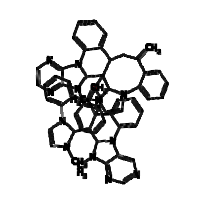 C=C1CC2c3ccccc3N3c4nccnc4N(c4ccccc4)C3C2(CCC23C(=C)c4ccccc4N4C=CN(C)C4C2C2N(C)c4ncncc4N2c2ccccc23)C2N(C)C=CN2c2ccccc21